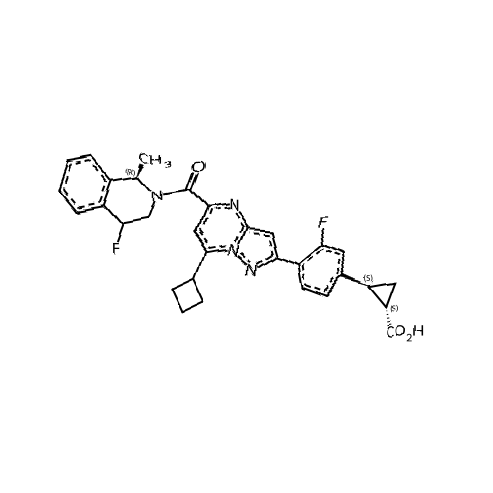 C[C@@H]1c2ccccc2C(F)CN1C(=O)c1cc(C2CCC2)n2nc(-c3ccc([C@H]4C[C@@H]4C(=O)O)cc3F)cc2n1